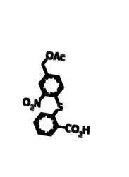 CC(=O)OCc1ccc(Sc2ccccc2C(=O)O)c([N+](=O)[O-])c1